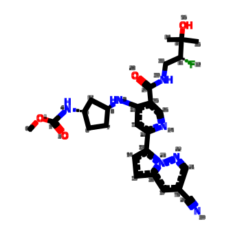 COC(=O)N[C@H]1CC[C@H](Nc2cc(-c3ccc4cc(C#N)cnn34)ncc2C(=O)NC[C@@H](F)C(C)(C)O)C1